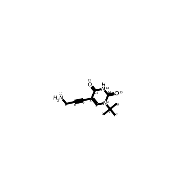 CC(C)(C)n1cc(C#CCN)c(=O)[nH]c1=O